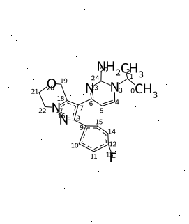 CC(C)N1C=CC(c2c(-c3ccc(F)cc3)nn3c2COCC3)=NC1N